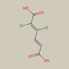 O=C(O)C=CC(Cl)=C(Cl)C(=O)O